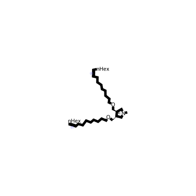 CCCCCC/C=C\CCCCCCCCOC[C@H]1CN(C)C[C@@H]1COCCCCCCCC/C=C\CCCCCC